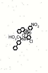 O=C(O)CC(NC(=O)c1cc(Cl)ccc1N(Cc1cccc2ccccc12)S(=O)(=O)c1ccc([N+](=O)[O-])cc1)c1ccc(-c2ccccc2)cc1